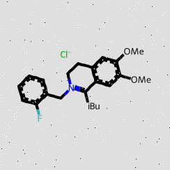 CCC(C)C1=[N+](Cc2ccccc2F)CCc2cc(OC)c(OC)cc21.[Cl-]